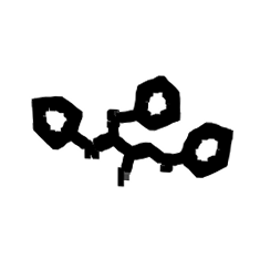 FC(=C\Sc1ccccc1)/C(=N/c1ccccc1)Sc1ccccc1